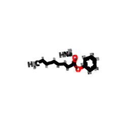 CCCCCCCC(=O)Oc1ccccc1.[NaH]